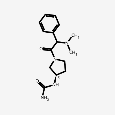 CN(C)C(C(=O)N1CC[C@@H](NC(N)=O)C1)c1ccccc1